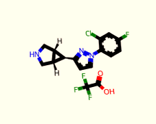 Fc1ccc(-n2ccc([C@H]3[C@@H]4CNC[C@@H]43)n2)c(Cl)c1.O=C(O)C(F)(F)F